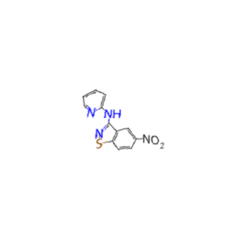 O=[N+]([O-])c1ccc2snc(Nc3ccccn3)c2c1